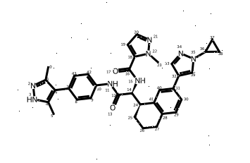 Cc1n[nH]c(C)c1-c1ccc(NC(=O)[C@@H](NC(=O)c2ccnn2C)[C@@H]2CCCc3ccc(-c4cnn(C5CC5)c4)cc32)cc1